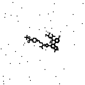 Cc1ncc2c(-c3ccc(F)cc3C(=O)N(CC(F)F)C(C)C)cc(C3CN([C@H](CCCN4CCN(C(=O)OC(C)(C)C)CC4)C(C)C)C3)cn12